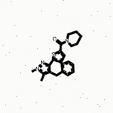 Cc1c(Cc2ccccc2)c(-c2ccc(C(=O)N3CCCCC3)s2)nn1C